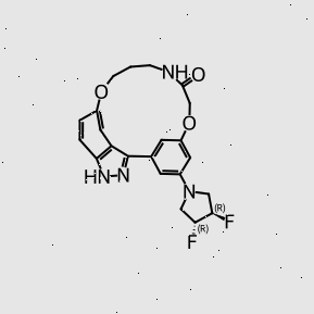 O=C1COc2cc(cc(N3C[C@@H](F)[C@H](F)C3)c2)-c2n[nH]c3ccc(cc23)OCCCN1